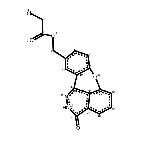 O=C(CCl)OCc1ccc2c(c1)-c1n[nH]c(=O)c3cccc(c13)O2